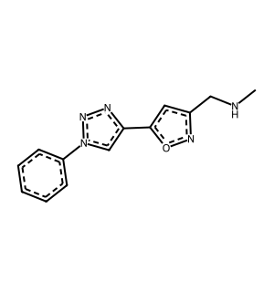 CNCc1cc(-c2cn(-c3ccccc3)nn2)on1